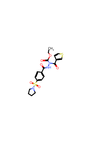 CCOC(=O)N(NC(=O)c1ccc(S(=O)(=O)N2CCCC2)cc1)C(=O)c1ccsc1